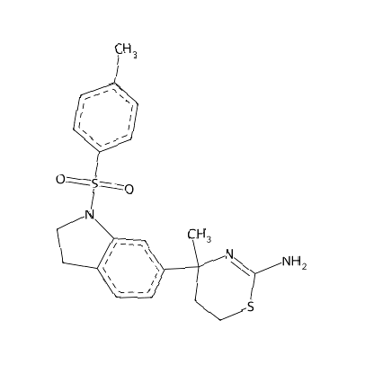 Cc1ccc(S(=O)(=O)N2CCc3ccc(C4(C)CCSC(N)=N4)cc32)cc1